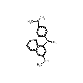 CNc1nc(N(C)c2ccc(N(C)C)cc2)c2ccccc2n1